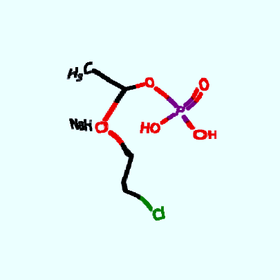 CC(OCCCl)OP(=O)(O)O.[NaH]